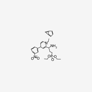 CCOP(=O)(CCC(N)C1=CC(c2cccc([N+](=O)[O-])c2)C=CN1CC)OCC.c1cc2cc-2c1